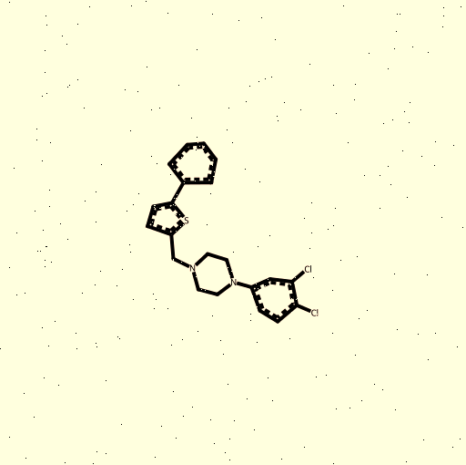 Clc1ccc(N2CCN(Cc3ccc(-c4ccccc4)s3)CC2)cc1Cl